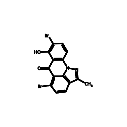 Cc1nn2c3ccc(Br)c(O)c3c(=O)c3c(Br)ccc1c32